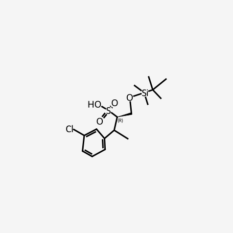 CC(c1cccc(Cl)c1)[C@H](CO[Si](C)(C)C(C)(C)C)S(=O)(=O)O